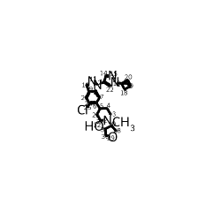 C[C@@]1(N2CCC(c3cc4c(cnn4-c4cnn(C56CC(C5)C6)c4)cc3Cl)CC2)COC[C@@H]1O